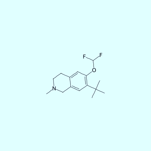 CN1CCc2cc(OC(F)F)c(C(C)(C)C)cc2C1